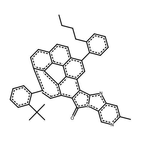 CCCCc1ccccc1-c1cc2c3c4c1ccc1ccc5c(-c6ccccc6C(C)(C)C)cc(c6c(=O)n7c8cnc(C)cc8nc7c26)c3c5c14